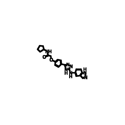 O=C(COc1ccc(-c2nnc(Nc3ccc4[nH]ncc4c3)[nH]2)cc1)NC1CCCC1